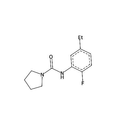 CCc1ccc(F)c(NC(=O)N2CCCC2)c1